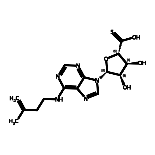 C=C(C)CCNc1ncnc2c1ncn2[C@@H]1O[C@H](C(O)=S)[C@@H](O)[C@H]1O